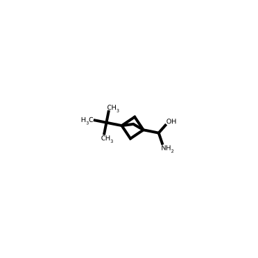 CC(C)(C)C12CC(C(N)O)(C1)C2